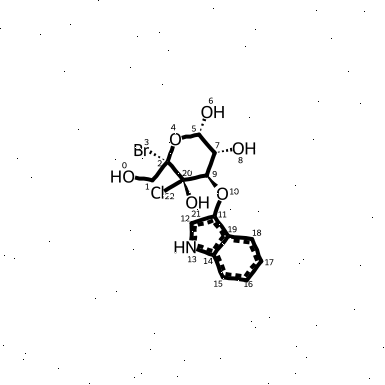 OC[C@@]1(Br)O[C@H](O)[C@H](O)[C@@H](Oc2c[nH]c3ccccc23)[C@]1(O)Cl